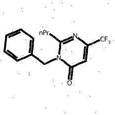 CCCc1nc(C(F)(F)F)cc(=O)n1Cc1ccccc1